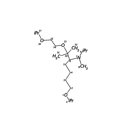 CC(C)OCCCCC(N(C)C(C)C)C(C)(C)OCCOC(C)C